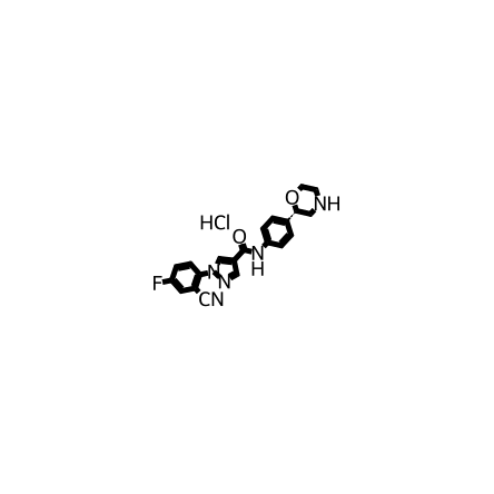 Cl.N#Cc1cc(F)ccc1-n1cc(C(=O)Nc2ccc([C@H]3CNCCO3)cc2)cn1